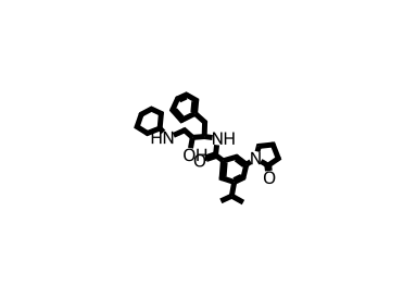 CC(C)c1cc(C(=O)NC(Cc2ccccc2)C(O)CNC2CCCCC2)cc(N2CCCC2=O)c1